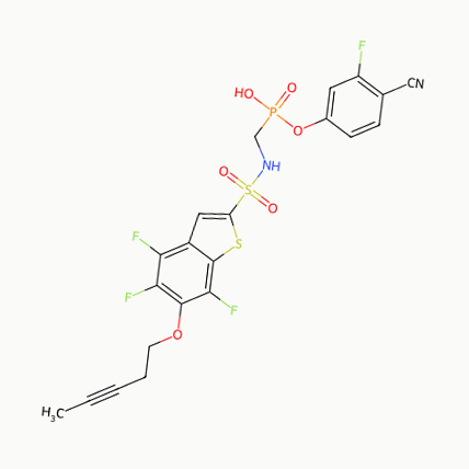 CC#CCCOc1c(F)c(F)c2cc(S(=O)(=O)NCP(=O)(O)Oc3ccc(C#N)c(F)c3)sc2c1F